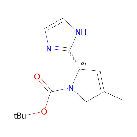 CC1=C[C@@H](c2ncc[nH]2)N(C(=O)OC(C)(C)C)C1